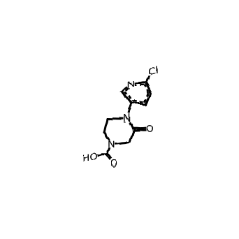 O=C(O)N1CCN(c2ccc(Cl)nc2)C(=O)C1